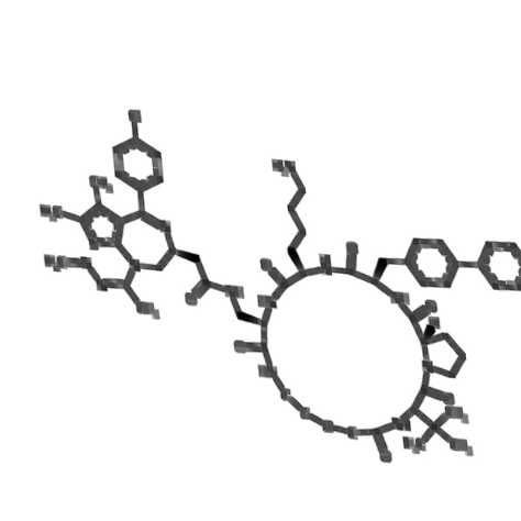 C=N/N=C(/C)N1C[C@H](CC(=O)NC[C@H]2NC(=O)[C@@H](CCCCN)NC(=O)[C@@H](Cc3ccc(-c4ccccc4)cc3)NC(=O)[C@@H]3CCCN3C(=O)C(C(C)(C)C)NC(=O)COCCNC2=O)N=C(c2ccc(Cl)cc2)c2c1sc(C)c2C